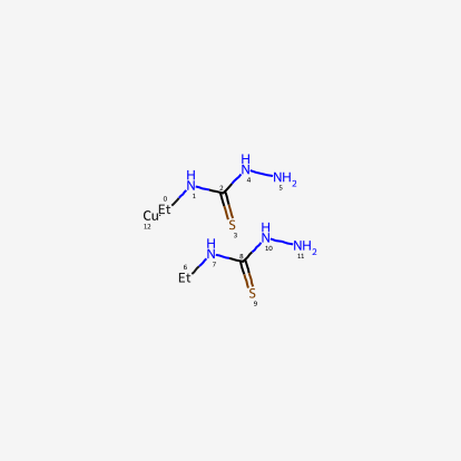 CCNC(=S)NN.CCNC(=S)NN.[Cu]